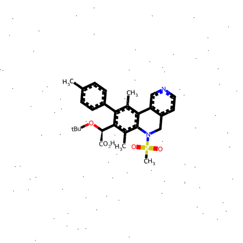 Cc1ccc(-c2c(C)c3c(c(C)c2[C@H](OC(C)(C)C)C(=O)O)N(S(C)(=O)=O)Cc2ccncc2-3)cc1